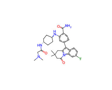 CN(C)CC(=O)N[C@H]1CC[C@H](Nc2cc(-c3c4n(c5cc(F)ccc35)C(=O)CC(C)(C)C4)ccc2C(N)=O)CC1